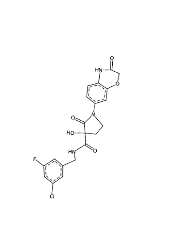 O=C1COc2cc(N3CCC(O)(C(=O)NCc4cc(F)cc(Cl)c4)C3=O)ccc2N1